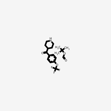 CC(C)(C)OC=O.O=C(c1ccc(OC(F)(F)F)cc1)C1CCNCC1